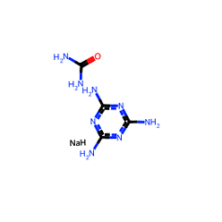 NC(N)=O.Nc1nc(N)nc(N)n1.[NaH]